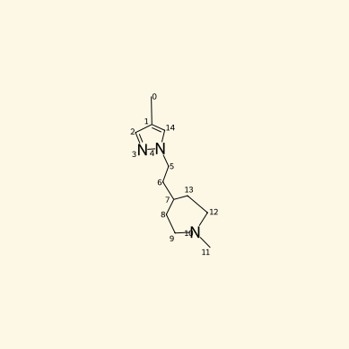 Cc1cnn(CCC2CCN(C)CC2)c1